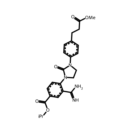 COC(=O)CCc1ccc(N2CCN(c3ccc(C(=O)OC(C)C)cc3C(=N)N)C2=O)cc1